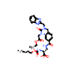 CCCCOC(=O)N[C@@H](CNC(=O)c1ccc(CN(Cc2nc3ccccc3[nH]2)C(=O)NCC(=O)OCC)cc1)C(=O)O